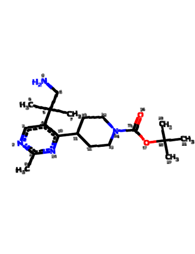 Cc1ncc(C(C)(C)CN)c(C2CCN(C(=O)OC(C)(C)C)CC2)n1